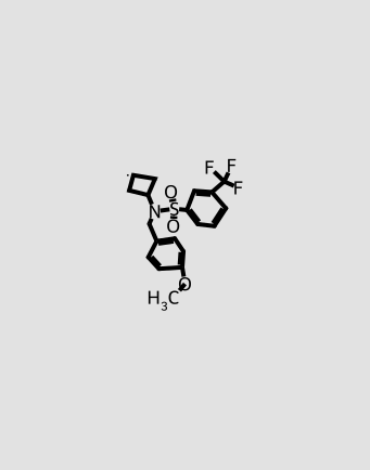 COc1ccc(CN(C2C[CH]C2)S(=O)(=O)c2cccc(C(F)(F)F)c2)cc1